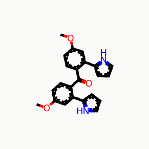 COc1ccc(C(=O)c2ccc(OC)cc2-c2ccc[nH]2)c(-c2ccc[nH]2)c1